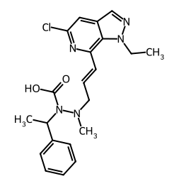 CCn1ncc2cc(Cl)nc(C=CCN(C)N(C(=O)O)C(C)c3ccccc3)c21